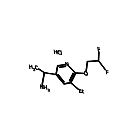 CCc1cc(C(C)N)cnc1OCC(F)F.Cl